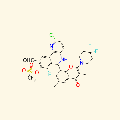 Cc1cc(C(C)Nc2ccc(Cl)nc2-c2cc(F)c(OS(=O)(=O)C(F)(F)F)c(C=O)c2)c2oc(N3CCC(F)(F)CC3)c(C)c(=O)c2c1